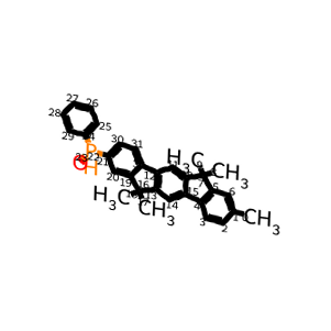 Cc1ccc2c(c1)C(C)(C)c1cc3c(cc1-2)C(C)(C)c1cc([PH](=O)c2ccccc2)ccc1-3